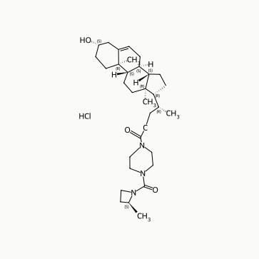 C[C@H](CCC(=O)N1CCN(C(=O)N2CC[C@@H]2C)CC1)[C@H]1CC[C@H]2[C@@H]3CC=C4C[C@@H](O)CC[C@]4(C)[C@H]3CC[C@]12C.Cl